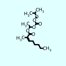 CCCCCC=C(C)C(=O)OC(C)OC(=O)OOC(C)C